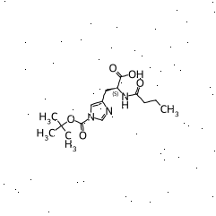 CCCC(=O)N[C@@H](Cc1cn(C(=O)OC(C)(C)C)cn1)C(=O)O